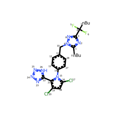 CCCCc1nc(C(F)(F)CCCC)nn1Cc1ccc(-n2c(Cl)cc(Cl)c2-c2nnn[nH]2)cc1